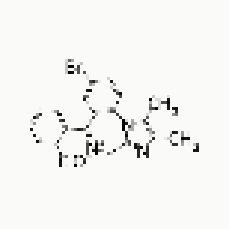 Cc1nc2n(c1C)-c1ccc(Br)cc1C(c1ccccc1Cl)=[N+]([O-])C2